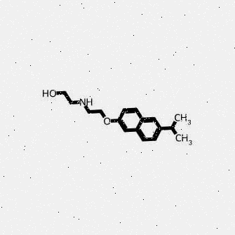 CC(C)c1ccc2cc(OCCNCCO)ccc2c1